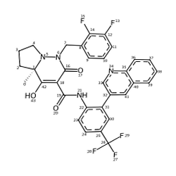 C[C@]12CCCN1N(Cc1cccc(F)c1F)C(=O)C(C(=O)Nc1ccc(C(F)(F)F)cc1-c1cnc3ccccc3c1)=C2O